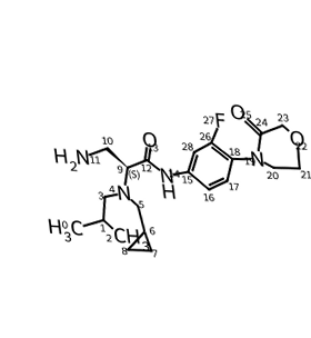 CC(C)CN(CC1CC1)[C@@H](CN)C(=O)Nc1ccc(N2CCOCC2=O)c(F)c1